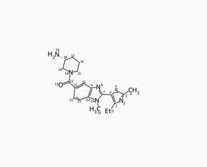 CCc1nc(C)sc1-c1nc2cc(C(=O)N3CCC[C@@H](N)C3)ccc2n1C